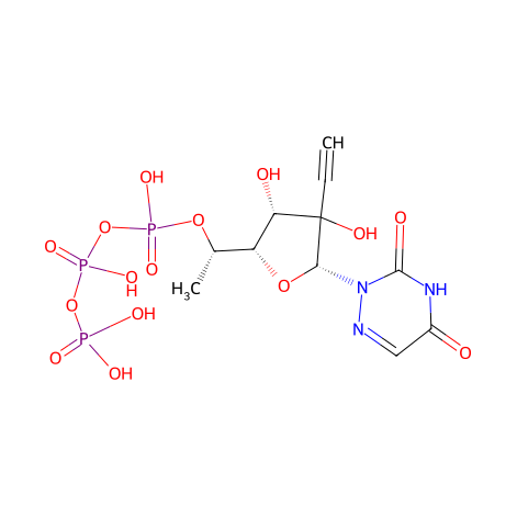 C#CC1(O)[C@@H](O)[C@@H]([C@H](C)OP(=O)(O)OP(=O)(O)OP(=O)(O)O)O[C@H]1n1ncc(=O)[nH]c1=O